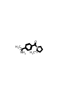 C[C@@H](N)c1ccc(C(=O)N2CCC[C@@H]2C)cc1